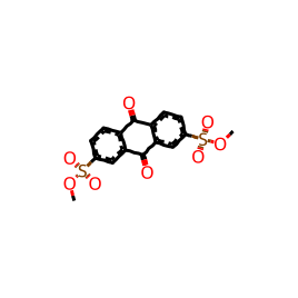 COS(=O)(=O)c1ccc2c(c1)C(=O)c1cc(S(=O)(=O)OC)ccc1C2=O